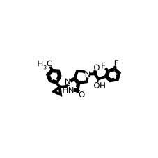 Cc1ccc(C2(c3nc4c(c(=O)[nH]3)CN(C(=O)[C@H](O)c3cccc(F)c3F)CC4)CC2)cc1